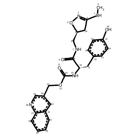 CBC1=NO[C@H](CNC(=O)[C@H](Cc2ccc(O)cc2)NC(=O)OCc2cnc3ccccc3c2)C1